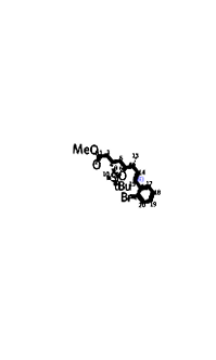 COC(=O)CCCC(O[Si](C)(C)C(C)(C)C)[C@H](C)/C=C/c1ccccc1Br